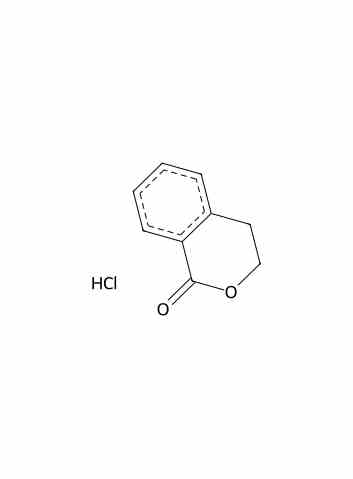 Cl.O=C1OCCc2ccccc21